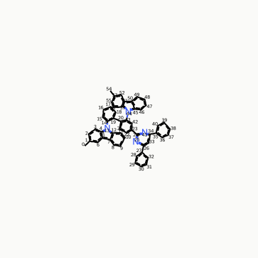 Cc1ccc2c(c1)c1ccccc1n2-c1ccccc1-c1ccc(-c2nc(-c3ccccc3)cc(-c3ccccc3)n2)cc1-n1c2ccccc2c2cc(C)ccc21